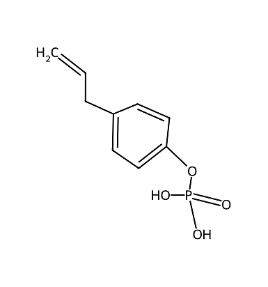 C=CCc1ccc(OP(=O)(O)O)cc1